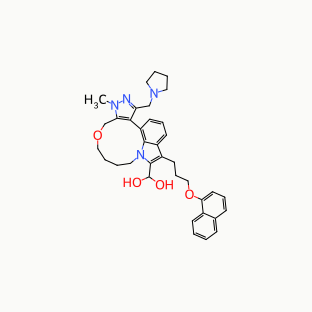 Cn1nc(CN2CCCC2)c2c1COCCCCn1c(C(O)O)c(CCCOc3cccc4ccccc34)c3cccc-2c31